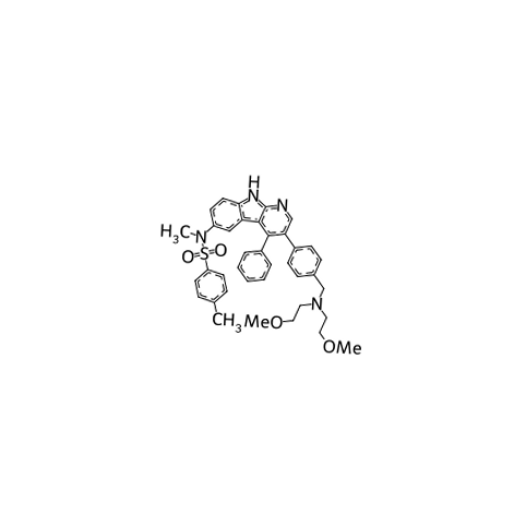 COCCN(CCOC)Cc1ccc(-c2cnc3[nH]c4ccc(N(C)S(=O)(=O)c5ccc(C)cc5)cc4c3c2-c2ccccc2)cc1